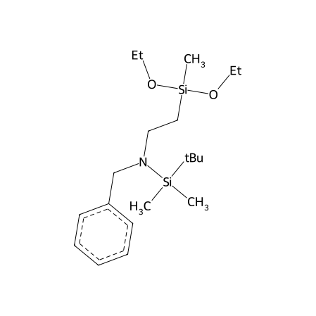 CCO[Si](C)(CCN(Cc1ccccc1)[Si](C)(C)C(C)(C)C)OCC